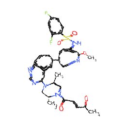 COc1ncc(-c2ccc3ncnc(N4C[C@@H](C)N(C(=O)/C=C/C(C)=O)C[C@@H]4C)c3c2)cc1NS(=O)(=O)c1ccc(F)cc1F